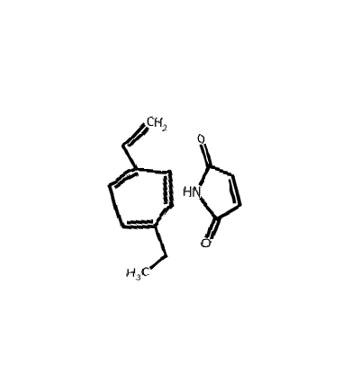 C=Cc1ccc(CC)cc1.O=C1C=CC(=O)N1